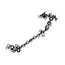 Cc1cc(C)c(CNC(=O)c2cc(-c3ccc(N4CCN(CCNC(=O)CCOCCOCCOCCOCCOCCNc5cccc6c5C(=O)N(C5CCC(=O)NC5=O)C6=O)CC4)nc3)cc3c2cnn3C(C)C)c(=O)[nH]1